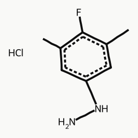 Cc1cc(NN)cc(C)c1F.Cl